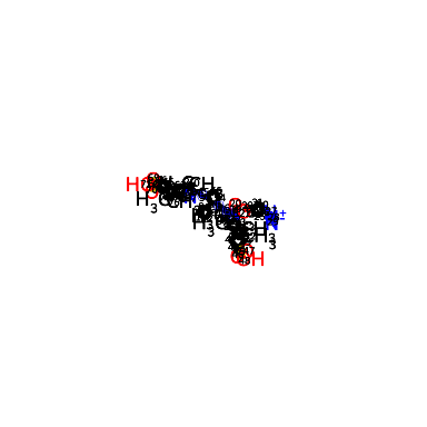 CC1(C)C(/C=C/C2=C(c3ccccc3)C(=C/C=C3/N(C(=O)OCc4ccc(N=[N+]=[N-])cc4)c4cc5c(cc4C3(C)C)-c3ccc(S(=O)(=O)O)cc3C5(C)C)/CCC2)=Nc2cc3c(cc21)-c1ccc(S(=O)(=O)O)cc1C3(C)C